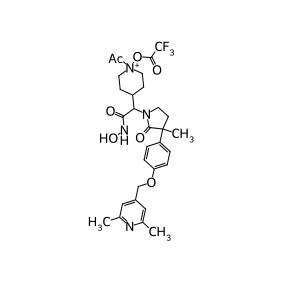 CC(=O)[N+]1(OC(=O)C(F)(F)F)CCC(C(C(=O)NO)N2CCC(C)(c3ccc(OCc4cc(C)nc(C)c4)cc3)C2=O)CC1